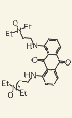 CC[N+]([O-])(CC)CCNc1cccc2c1C(=O)c1c(NCC[N+]([O-])(CC)CC)cccc1C2=O